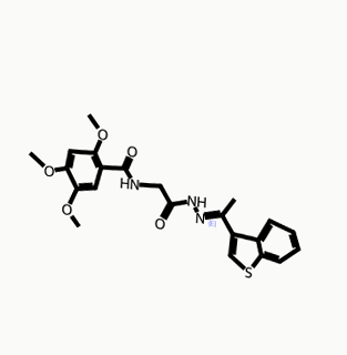 COc1cc(OC)c(C(=O)NCC(=O)N/N=C(\C)c2csc3ccccc23)cc1OC